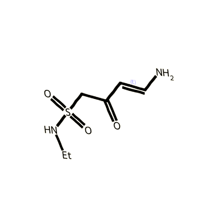 CCNS(=O)(=O)CC(=O)/C=C/N